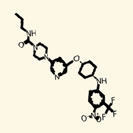 CCCNC(=O)N1CCN(c2cncc(O[C@H]3CC[C@H](Nc4ccc([N+](=O)[O-])c(C(F)(F)F)c4)CC3)c2)CC1